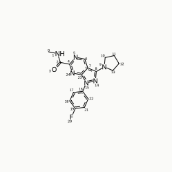 CNC(=O)c1ncc2c(N3CCCC3)nn(-c3ccc(F)cc3)c2n1